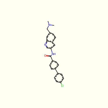 CN(C)Cc1ccc2cc(NC(=O)c3ccc(-c4ccc(Cl)cc4)cc3)cnc2c1